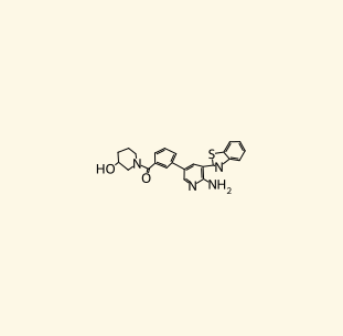 Nc1ncc(-c2cccc(C(=O)N3CCCC(O)C3)c2)cc1-c1nc2ccccc2s1